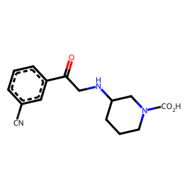 N#Cc1cccc(C(=O)CNC2CCCN(C(=O)O)C2)c1